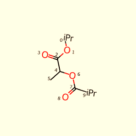 CC(C)OC(=O)C(C)OC(=O)C(C)C